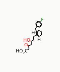 O=C(O)CC(=O)CC(O)/C=C/C1[C@@H](Cc2ccc(F)cc2)C2C=C[C@H]1CC2